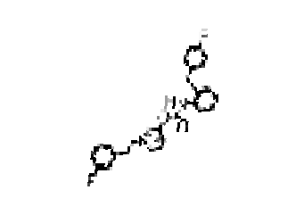 O=C(Nc1ccccc1Cc1ccc(F)cc1)OC1C[N+]2(CCc3cccc(F)c3)CCC1CC2